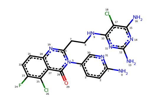 Nc1ccc(-n2c(CCNc3nc(N)nc(N)c3Cl)nc3ccc(F)c(Cl)c3c2=O)cn1